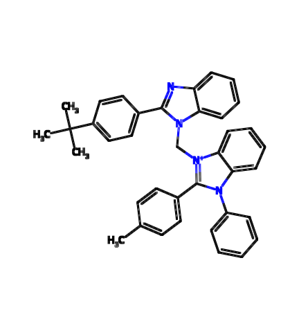 Cc1ccc(-c2n(-c3ccccc3)c3ccccc3[n+]2Cn2c(-c3ccc(C(C)(C)C)cc3)nc3ccccc32)cc1